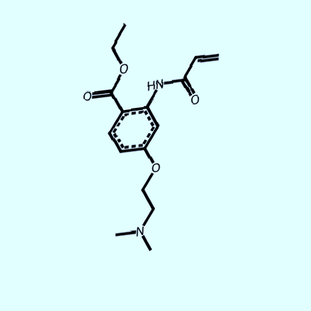 C=CC(=O)Nc1cc(OCCN(C)C)ccc1C(=O)OCC